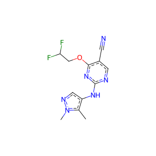 Cc1c(Nc2ncc(C#N)c(OCC(F)F)n2)cnn1C